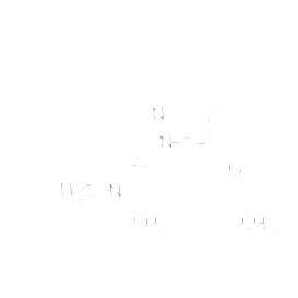 CCOc1ccnn1CCN(C)C